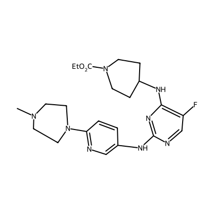 CCOC(=O)N1CCC(Nc2nc(Nc3ccc(N4CCN(C)CC4)nc3)ncc2F)CC1